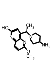 COc1ccc2nc(O)cc([C@@H](C)N3CCC(N)CC3)c2n1